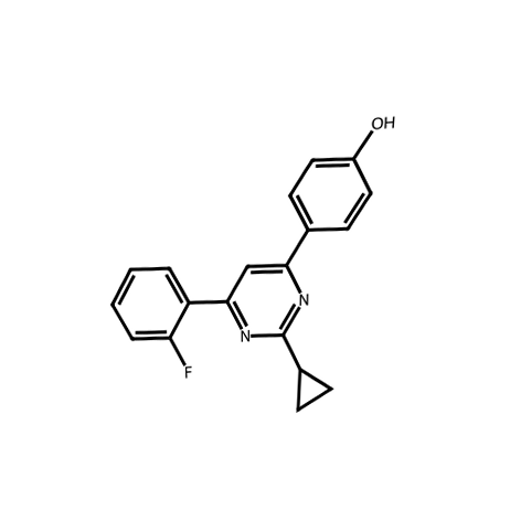 Oc1ccc(-c2cc(-c3ccccc3F)nc(C3CC3)n2)cc1